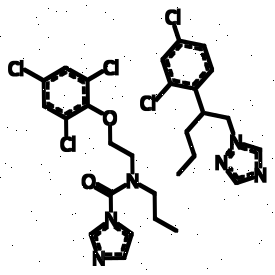 CCCC(Cn1cncn1)c1ccc(Cl)cc1Cl.CCCN(CCOc1c(Cl)cc(Cl)cc1Cl)C(=O)n1ccnc1